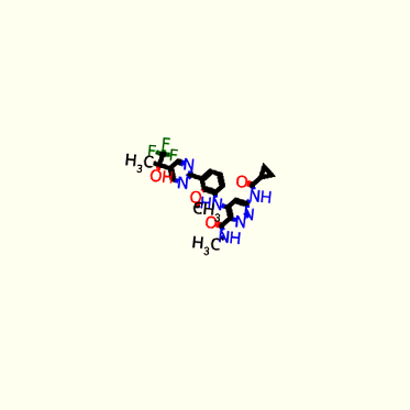 CNC(=O)c1nnc(NC(=O)C2CC2)cc1Nc1cccc(-c2ncc(C(C)(O)C(F)(F)F)cn2)c1OC